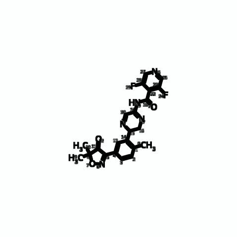 Cc1ccc(C2=NOC(C)(C)C2=O)cc1C1CN=C(NC(=O)c2c(F)cncc2F)C=N1